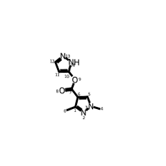 Cc1nn(C)cc1C(=O)Oc1ccn[nH]1